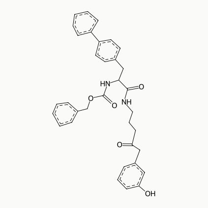 O=C(CCCNC(=O)C(Cc1ccc(-c2ccccc2)cc1)NC(=O)OCc1ccccc1)Cc1cccc(O)c1